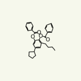 CCCCc1cc(C2CCCC2)cc(OC(=O)c2ccccc2)c1OC(=O)c1ccccc1